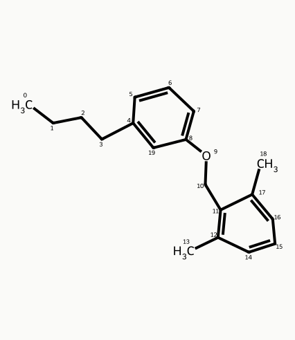 CCCCc1cccc(OCc2c(C)cccc2C)c1